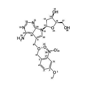 COc1ccc(COCc2cn([C@H]3C[C@@H](O)[C@@H](CO)O3)c3ncnc(N)c23)c([N+](=O)[O-])c1